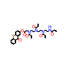 C=CC(=O)NCCN(CCN(CCN(CC(=O)Oc1ccc2sc3ccccc3c(=O)c2c1)C(=O)C=C)C(=O)C=C)C(=O)C=C